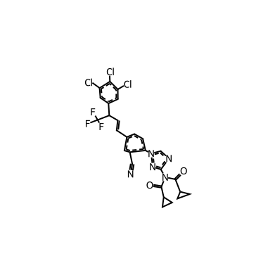 N#Cc1cc(/C=C/C(c2cc(Cl)c(Cl)c(Cl)c2)C(F)(F)F)ccc1-n1cnc(N(C(=O)C2CC2)C(=O)C2CC2)n1